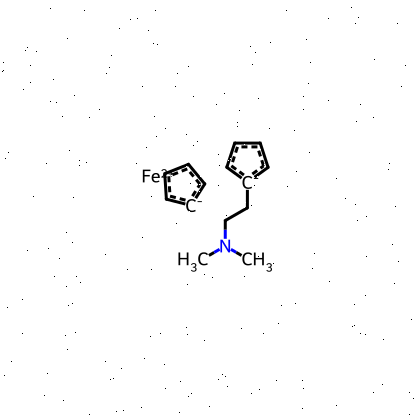 CN(C)CC[c-]1cccc1.[Fe+2].c1cc[cH-]c1